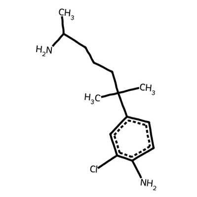 CC(N)CCCC(C)(C)c1ccc(N)c(Cl)c1